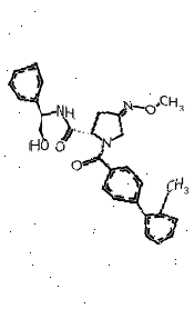 CON=C1C[C@@H](C(=O)N[C@@H](CO)c2ccccc2)N(C(=O)c2ccc(-c3ccccc3C)cc2)C1